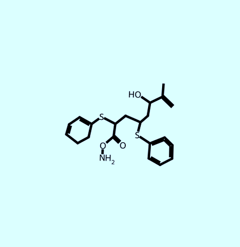 C=C(C)C(O)CC(CC(SC1=CC=CCC1)C(=O)ON)SC1=C=C=CC=C1